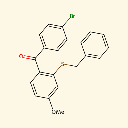 COc1ccc(C(=O)c2ccc(Br)cc2)c(SCc2ccccc2)c1